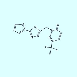 O=c1ccc(C(F)(F)F)nn1Cc1nnc(-c2cccs2)o1